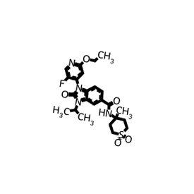 CCOc1cc(-n2c(=O)n(C(C)C)c3cc(C(=O)NC4(C)CCS(=O)(=O)CC4)ccc32)c(F)cn1